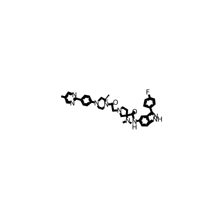 Cc1cnc(-c2ccc(N3CCN(C(=O)CN4CCC(C(=O)Nc5ccc6[nH]nc(-c7ccc(F)cc7)c6c5)(N(C)C)C4)[C@H](C)C3)cc2)nc1